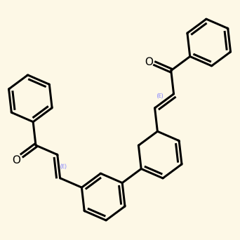 O=C(/C=C/c1cccc(C2=CC=CC(/C=C/C(=O)c3ccccc3)C2)c1)c1ccccc1